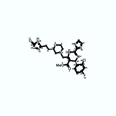 COC(=O)C1=C(CN2CCO[C@H](CCc3noc(=O)[nH]3)C2)NC(c2nccs2)=N[C@H]1c1ccc(F)cc1Cl